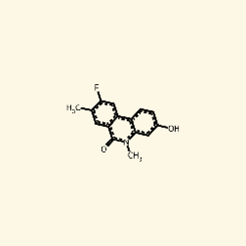 Cc1cc2c(=O)n(C)c3cc(O)ccc3c2cc1F